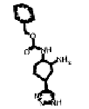 NC1CC(c2c[nH]nn2)CCC1NC(=O)OCc1ccccc1